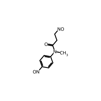 CN(C(=O)CCN=O)c1ccc(N=O)cc1